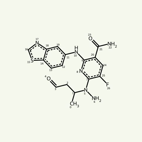 CC(CC=O)N(N)c1nc(Nc2ccc3scnc3c2)c(C(N)=O)cc1F